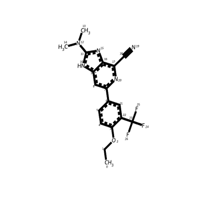 CCOc1ccc(-c2cc3[nH]c(N(C)C)nc3c(C#N)n2)cc1C(F)(F)F